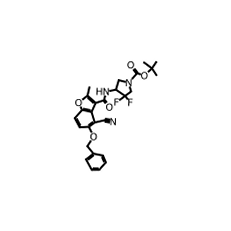 Cc1oc2ccc(OCc3ccccc3)c(C#N)c2c1C(=O)NC1CN(C(=O)OC(C)(C)C)CC1(F)F